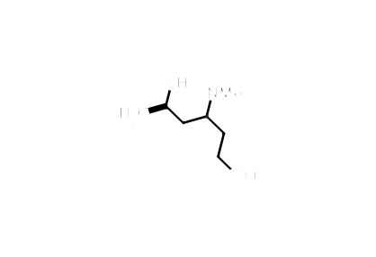 C=C(C)CC(CCC(C)(C)C)NC